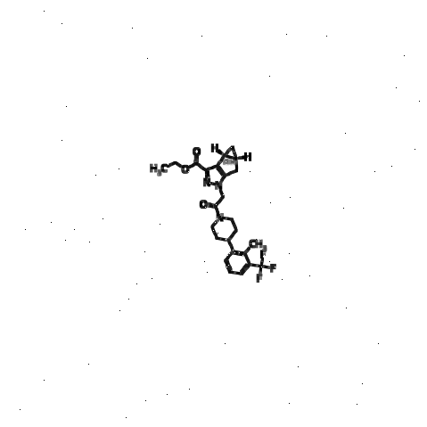 CCOC(=O)c1nn(CC(=O)N2CCC(c3cccc(C(F)(F)F)c3C)CC2)c2c1[C@@H]1C[C@@H]1C2